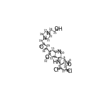 COc1cc(Nc2c(C#N)cnc3cc(-c4coc(CN5CCN(CCO)CC5)c4)c(OC)cc23)c(Cl)cc1Cl